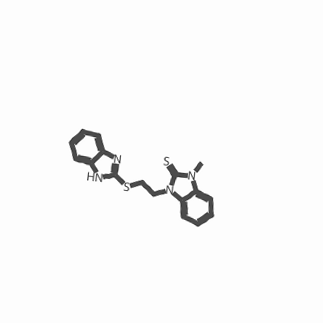 Cn1c(=S)n(CCSc2nc3ccccc3[nH]2)c2ccccc21